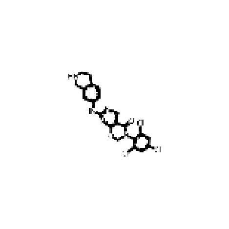 O=C1c2cnc(Nc3ccc4c(c3)CNCC4)nc2OCN1c1c(Cl)cc(Cl)cc1Cl